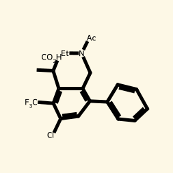 CCN(Cc1c(-c2ccccc2)cc(Cl)c(C(F)(F)F)c1C(C)C(=O)O)C(C)=O